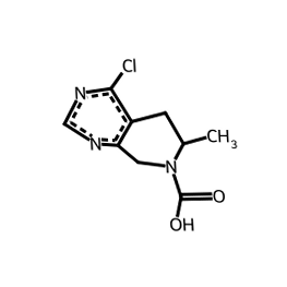 CC1Cc2c(Cl)ncnc2CN1C(=O)O